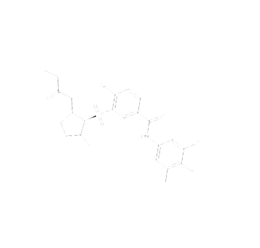 C=C(CC)CC1CCC(C)[C@@H]1S(=O)(=O)c1cc(C(=O)Nc2cc(F)c(F)c(F)c2)ccc1Cl